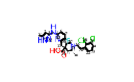 Cc1cc(Nc2ccc(F)c(C[C@@]3(C(=O)O)CCN(CCc4cccc(Cl)c4Cl)[C@H](C)C3)n2)n[nH]1